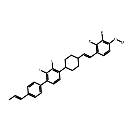 C/C=C/c1ccc(-c2ccc(C3CCC(/C=C/c4ccc(OCC)c(F)c4F)CC3)c(F)c2F)cc1